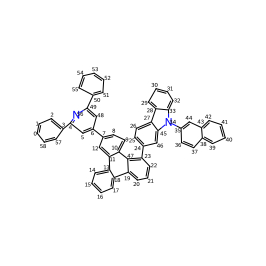 c1ccc(-c2cc(-c3ccc4c(c3)c3ccccc3c3cccc(-c5ccc6c7ccccc7n(-c7ccc8ccccc8c7)c6c5)c34)cc(-c3ccccc3)n2)cc1